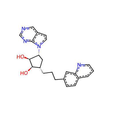 O[C@@H]1[C@@H](CCCc2ccc3cccnc3c2)C[C@@H](n2ccc3cncnc32)[C@@H]1O